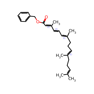 CC(C)=CCC/C(C)=C/CC/C(C)=C/C=C/C(C)=C/C(=O)OCc1ccccc1